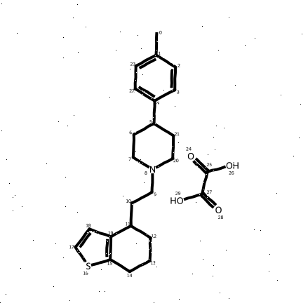 Cc1ccc(C2CCN(CCC3CCCc4sccc43)CC2)cc1.O=C(O)C(=O)O